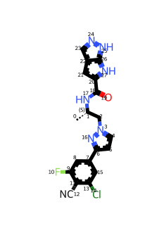 C[C@@H](Cn1ccc(-c2cc(F)c(C#N)c(Cl)c2)n1)NC(=O)c1cc2cn[nH]c2[nH]1